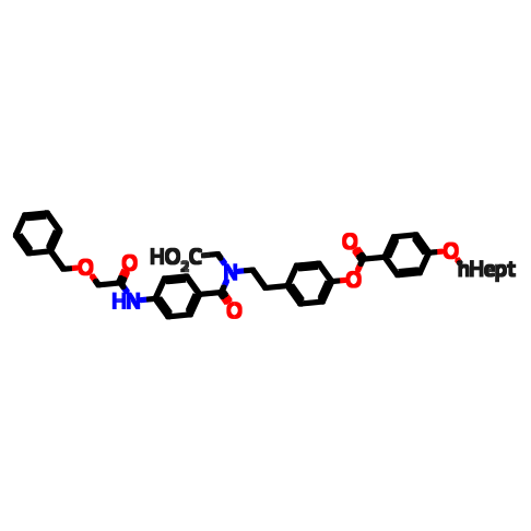 CCCCCCCOc1ccc(C(=O)Oc2ccc(CCN(CC(=O)O)C(=O)c3ccc(NC(=O)COCc4ccccc4)cc3)cc2)cc1